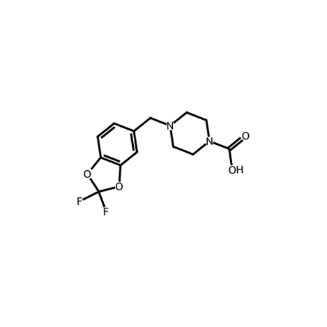 O=C(O)N1CCN(Cc2ccc3c(c2)OC(F)(F)O3)CC1